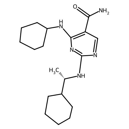 C[C@H](Nc1ncc(C(N)=O)c(NC2CCCCC2)n1)C1CCCCC1